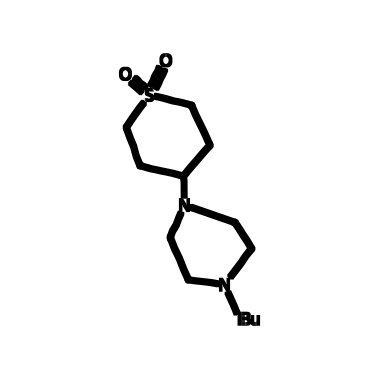 CCC(C)N1CCN(C2CCS(=O)(=O)CC2)CC1